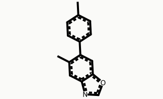 Cc1ccc(-c2cc3ocnc3cc2C)cc1